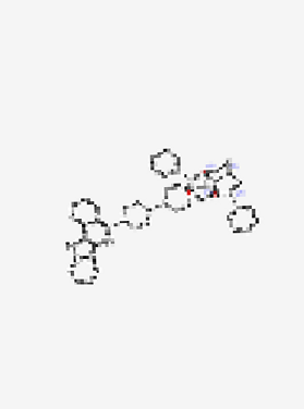 C1=C(c2cccc(-c3ccccc3)c2)/C=C(c2ccccc2)\N=C(c2ccc(-c3ccc(-c4nc5c(nc6ccccn65)c5ccccc45)cc3)cc2)/C=C/1